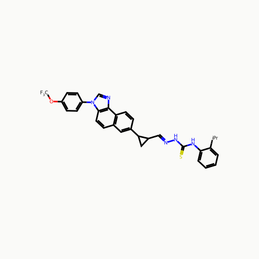 CC(C)c1ccccc1NC(=S)N/N=C/C1CC1c1ccc2c(ccc3c2ncn3-c2ccc(OC(F)(F)F)cc2)c1